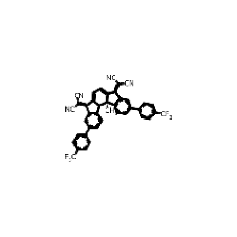 C[C@@]12C(=CC=C3C(=C(C#N)C#N)c4cc(-c5ccc(C(F)(F)F)cc5)ccc4C31)C(=C(C#N)C#N)c1cc(-c3ccc(C(F)(F)F)cc3)ccc12